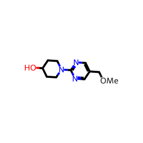 COCc1cnc(N2CCC(O)CC2)nc1